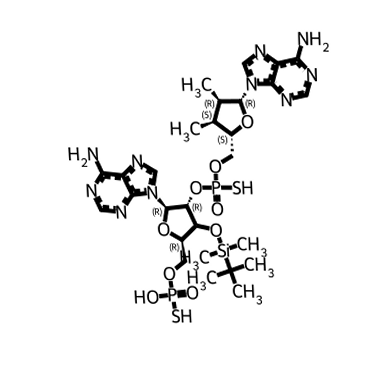 C[C@@H]1[C@H](C)[C@@H](COP(=O)(S)O[C@@H]2C(O[Si](C)(C)C(C)(C)C)[C@@H](COP(=O)(O)S)O[C@H]2n2cnc3c(N)ncnc32)O[C@H]1n1cnc2c(N)ncnc21